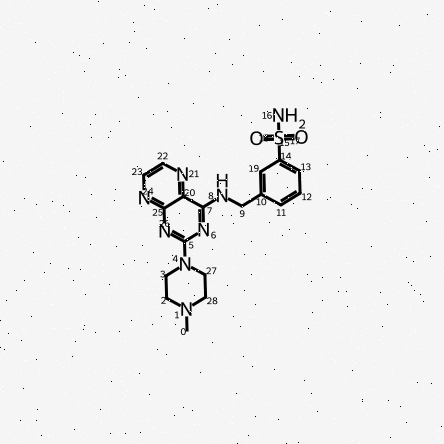 CN1CCN(c2nc(NCc3cccc(S(N)(=O)=O)c3)c3nccnc3n2)CC1